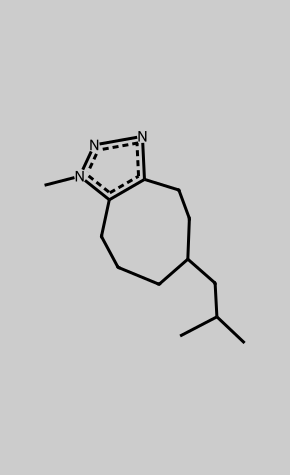 CC(C)CC1CCCc2c(nnn2C)CC1